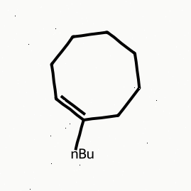 CCCCC1=CCCCCCC1